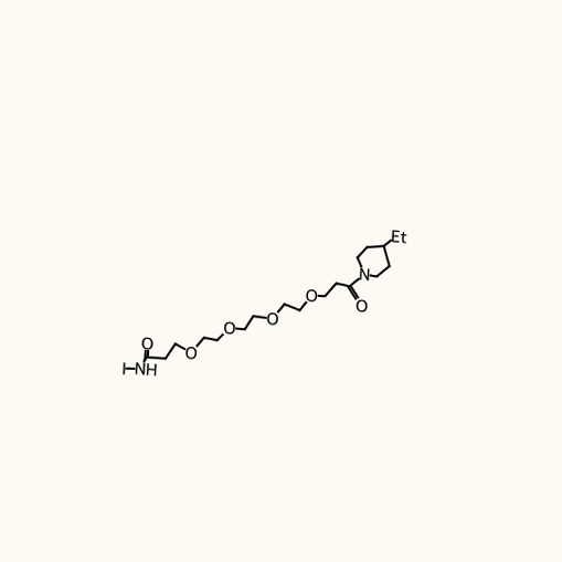 CCC1CCN(C(=O)CCOCCOCCOCCOCCC(=O)NI)CC1